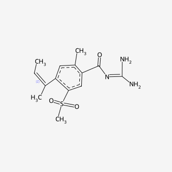 C/C=C(/C)c1cc(C)c(C(=O)N=C(N)N)cc1S(C)(=O)=O